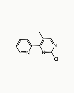 Cc1cnc(Cl)nc1-c1ccccn1